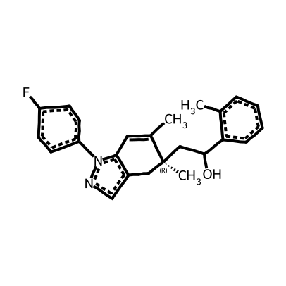 CC1=Cc2c(cnn2-c2ccc(F)cc2)C[C@]1(C)CC(O)c1ccccc1C